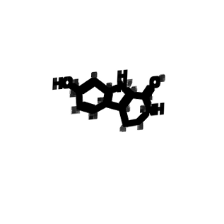 O=C1NCCc2c1[nH]c1cc(O)ccc21